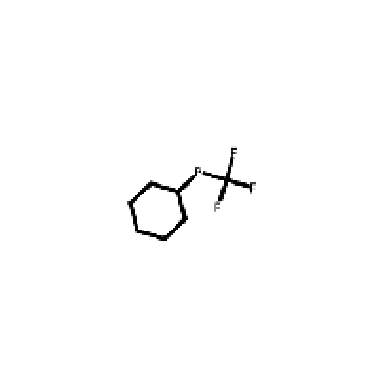 FC(F)(F)[P]C1CCCCC1